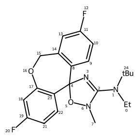 CCN(C1=NC2(ON1C)c1ccc(F)cc1COc1cc(F)ccc12)C(C)(C)C